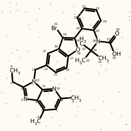 CCc1nc2c(C)cc(C)nc2n1Cc1ccc2oc(-c3ccccc3N(C(=O)O)C(C)(C)C)c(Br)c2c1